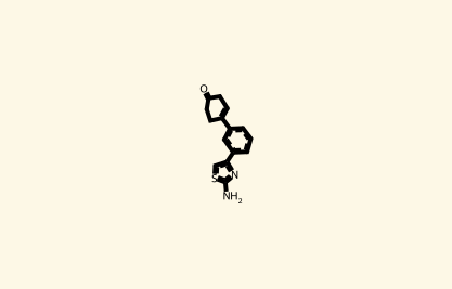 Nc1nc(-c2cccc(C3=CCC(=O)CC3)c2)cs1